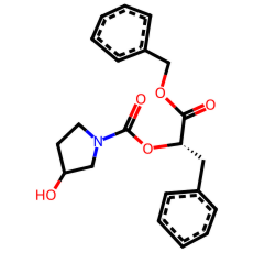 O=C(OCc1ccccc1)[C@H](Cc1ccccc1)OC(=O)N1CCC(O)C1